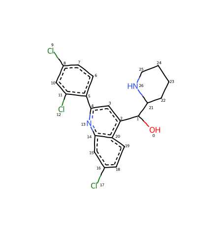 OC(c1cc(-c2ccc(Cl)cc2Cl)nc2cc(Cl)ccc12)C1CCCCN1